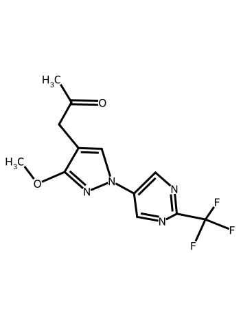 COc1nn(-c2cnc(C(F)(F)F)nc2)cc1CC(C)=O